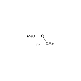 COOOC.[Re]